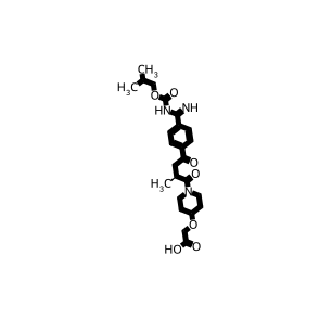 CC(C)COC(=O)NC(=N)c1ccc(C(=O)C[C@@H](C)C(=O)N2CCC(OCC(=O)O)CC2)cc1